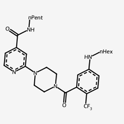 CCCCCCNc1ccc(C(F)(F)F)c(C(=O)N2CCN(c3cc(C(=O)NCCCCC)ccn3)CC2)c1